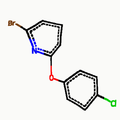 Clc1ccc(Oc2cccc(Br)n2)cc1